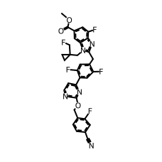 COC(=O)c1cc(F)c2nc(Cc3cc(F)c(-c4ccnc(OCc5ccc(C#N)cc5F)n4)cc3F)n(CC3(CF)CC3)c2c1